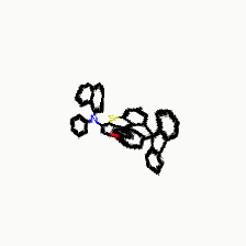 C1=CC(C2(c3ccccc3)c3ccccc3-c3ccccc32)C2C(=C1)Sc1c2cccc1N(c1ccccc1)c1cccc2ccccc12